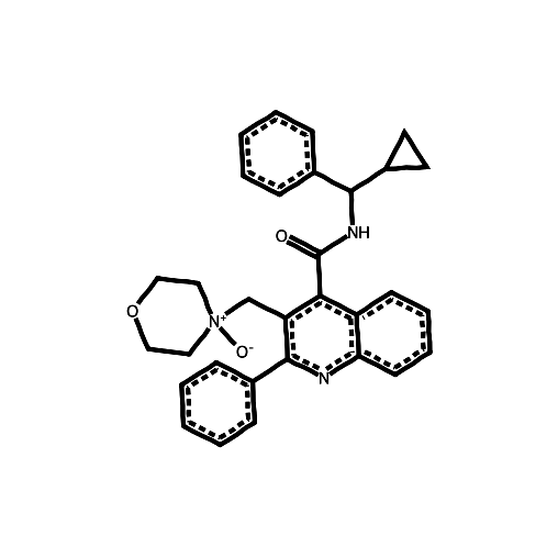 O=C(NC(c1ccccc1)C1CC1)c1c(C[N+]2([O-])CCOCC2)c(-c2ccccc2)nc2ccccc12